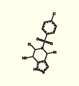 CCC1c2cn[nH]c2C(O)C(CC)N1S(=O)(=O)c1ccc(Cl)cc1